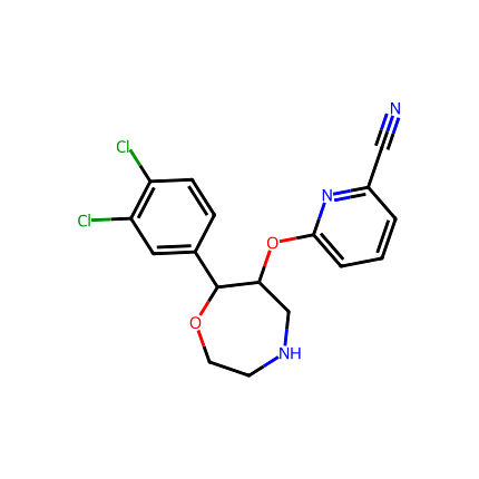 N#Cc1cccc(OC2CNCCOC2c2ccc(Cl)c(Cl)c2)n1